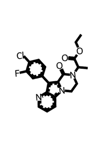 CCOC(=O)C(C)N1CCn2c(c(-c3ccc(Cl)c(F)c3)c3ncccc32)C1=O